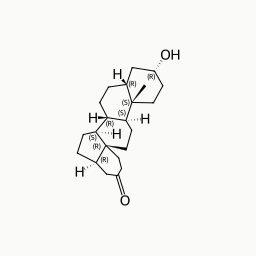 C[C@]12CC[C@@H](O)C[C@H]1CC[C@@H]1[C@@H]2CC[C@@]23CCC(=O)C[C@H]2CC[C@@H]13